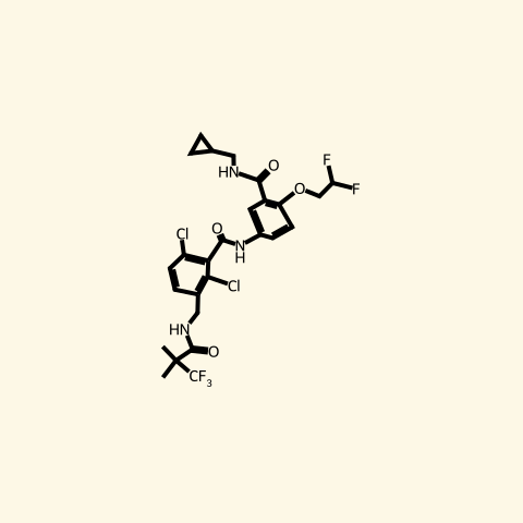 CC(C)(C(=O)NCc1ccc(Cl)c(C(=O)Nc2ccc(OCC(F)F)c(C(=O)NCC3CC3)c2)c1Cl)C(F)(F)F